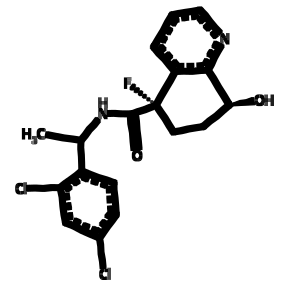 CC(NC(=O)[C@]1(F)CC[C@H](O)c2ncccc21)c1ccc(Cl)cc1Cl